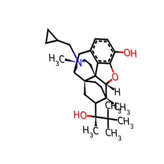 CC(C)(C)[C@](C)(O)C1C[C@]23CC[C@]1(C)[C@H]1Oc4c(O)ccc5c4[C@]12CC[N@@+](C)(CC1CC1)C3C5